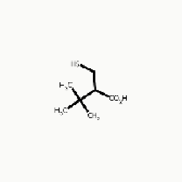 CC(C)(C)C(CS)C(=O)O